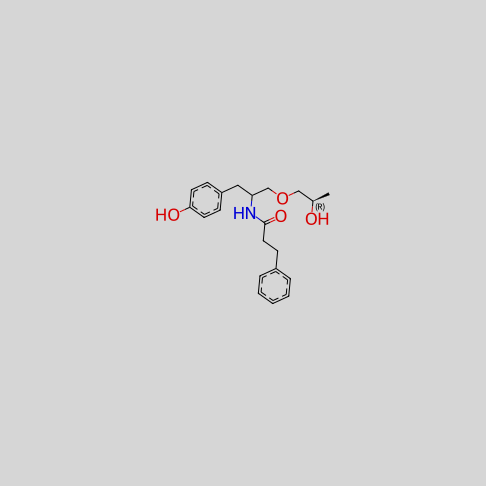 C[C@@H](O)COCC(Cc1ccc(O)cc1)NC(=O)CCc1ccccc1